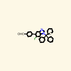 O=Cc1ccc(-c2cc3ncn(C(c4ccccc4)(c4ccccc4)c4ccccc4)c3cc2F)cc1